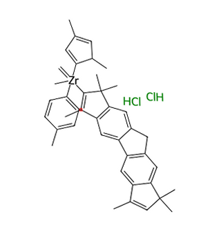 Cl.Cl.[CH2]=[Zr]([CH3])([C]1=CC(C)=CC1C)([C]1=C(C)c2cc3c(cc2C1(C)C)Cc1cc2c(cc1-3)C(C)=CC2(C)C)[c]1ccc(C)cc1